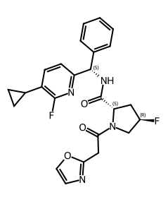 O=C(N[C@@H](c1ccccc1)c1ccc(C2CC2)c(F)n1)[C@@H]1C[C@@H](F)CN1C(=O)Cc1ncco1